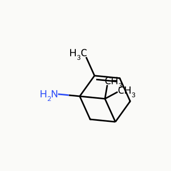 CC1=CCC2CC1(N)C2(C)C